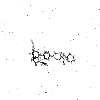 CCOc1cc(-c2ccc(N3CCC(CN4CCOCC4)(NC)CC3)nc2)c2c(C#N)cnn2c1